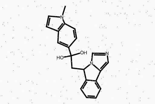 Cn1ccc2cc(C(O)(O)CC3c4ccccc4-c4cncn43)ccc21